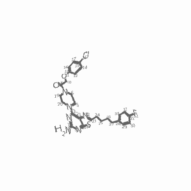 Nc1nc(N2CCN(C(=O)COc3ccc(Cl)cc3)CC2)c2nc(CCCCc3ccc(F)cc3)sc2n1